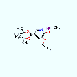 CCOc1cc(B2OC(C)(C)C(C)(C)O2)cnc1OPC